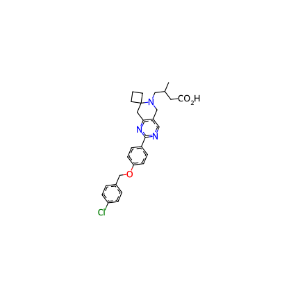 CC(CC(=O)O)CN1Cc2cnc(-c3ccc(OCc4ccc(Cl)cc4)cc3)nc2CC12CCC2